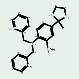 COc1cc(C2(C)OCCO2)ccc1N(Cc1ccccn1)Cc1ccccn1